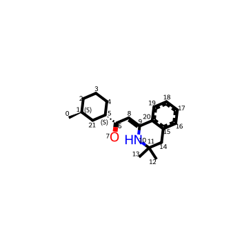 C[C@H]1CCC[C@H](C(=O)C=C2NC(C)(C)Cc3ccccc32)C1